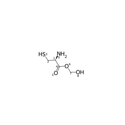 N[C@H](CS)C(=O)OCO